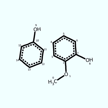 COc1ccccc1O.Oc1ccccc1